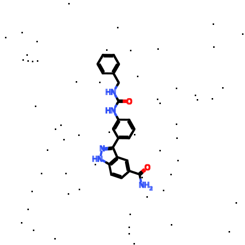 NC(=O)c1ccc2[nH]nc(-c3cccc(NC(=O)NCc4ccccc4)c3)c2c1